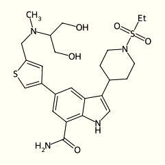 CCS(=O)(=O)N1CCC(c2c[nH]c3c(C(N)=O)cc(-c4csc(CN(C)C(CO)CO)c4)cc23)CC1